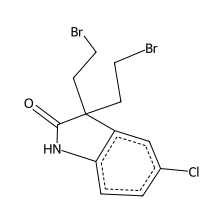 O=C1Nc2ccc(Cl)cc2C1(CCBr)CCBr